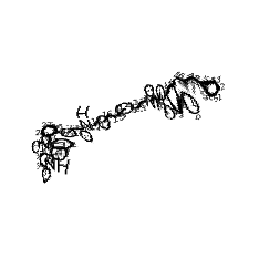 COC1=CC(=O)C(OCC(=O)NCCOCCOCCNC(=O)COc2cccc3c2C(=O)N(C2CCC(=O)NC2=O)C3=O)=C/C1=C/C=C/c1ccccc1